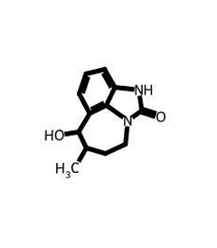 CC1CCn2c(=O)[nH]c3cccc(c32)C1O